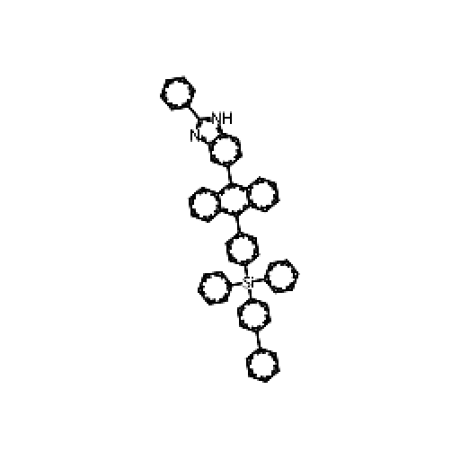 c1ccc(-c2ccc([Si](c3ccccc3)(c3ccccc3)c3ccc(-c4c5ccccc5c(-c5ccc6[nH]c(-c7ccccc7)nc6c5)c5ccccc45)cc3)cc2)cc1